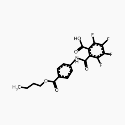 CCCCOC(=O)c1ccc(NC(=O)c2c(F)c(F)c(F)c(F)c2C(=O)O)cc1